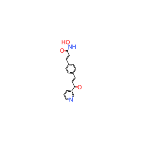 O=C(C=Cc1ccc(C=CC(=O)c2cccnc2)cc1)NO